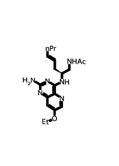 CCC/C=C/C[C@@H](CNC(C)=O)Nc1nc(N)nc2cc(OCC)cnc12